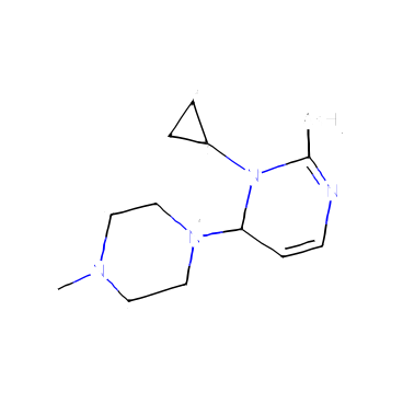 CN1CCN(C2C=CN=C([AsH2])N2C2CC2)CC1